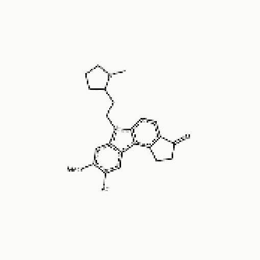 COc1cc2c(cc1C(C)=O)c1c3c(ccc1n2CCC1CCCN1C)C(=O)CC3